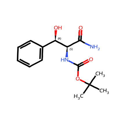 CC(C)(C)OC(=O)N[C@H](C(N)=O)[C@H](O)c1ccccc1